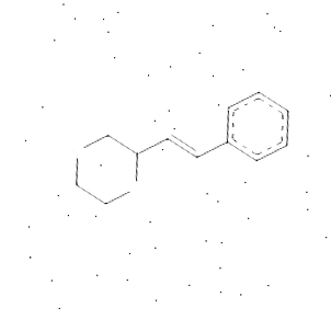 C(=CC1COCCO1)c1ccccc1